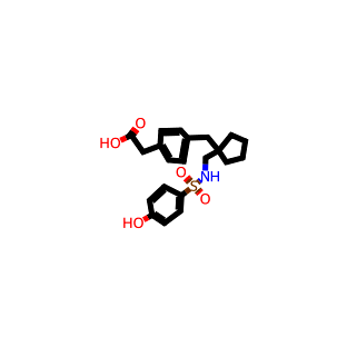 O=C(O)Cc1ccc(CC2(CNS(=O)(=O)c3ccc(O)cc3)CCCC2)cc1